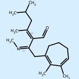 C/N=C(CC1=C(C)C(C)=CCCC1)\C(C=O)=C(/C)CC(C)C